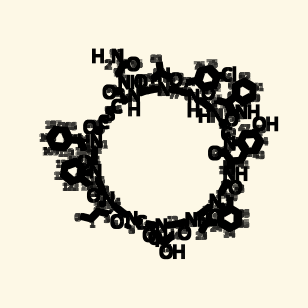 CCCC[C@H]1C(=O)N(C)CC(=O)N[C@@H](CC(=O)O)C(=O)N[C@@H](C(C)C)C(=O)N(C)[C@@H](Cc2ccccc2)C(=O)N[C@H]2Cc3ccc(O)cc3N(CC(=O)N[C@@H](Cc3c[nH]c4ccccc34)C(=O)N[C@@H](Cc3ccc(Cl)cc3)C(=O)N[C@@H](CC(C)C)C(=O)N[C@H](C(=O)NCC(N)=O)CSCC(=O)N[C@@H](CCc3ccccc3)C(=O)N(C)[C@@H](Cc3ccccc3)C(=O)N1C)C2=O